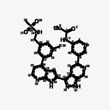 CC(C)(C)C(=O)Nc1cncc(-c2cc3c(-c4cc5c(-c6cc(F)cc(CNS(C)(=O)=O)c6)ccnc5[nH]4)n[nH]c3cn2)c1